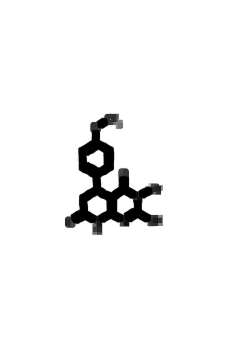 CC(C)n1c(S)nc2c(c1=O)C(c1ccc(OC(F)(F)F)cc1)CC(=O)N2